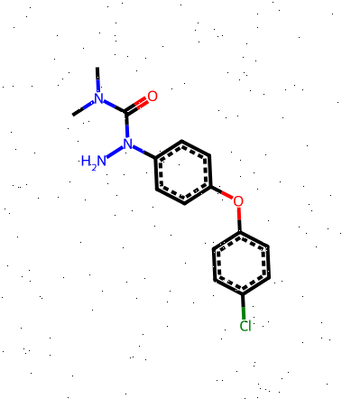 CN(C)C(=O)N(N)c1ccc(Oc2ccc(Cl)cc2)cc1